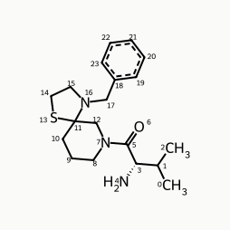 CC(C)[C@H](N)C(=O)N1CCCC2(C1)SCCN2Cc1ccccc1